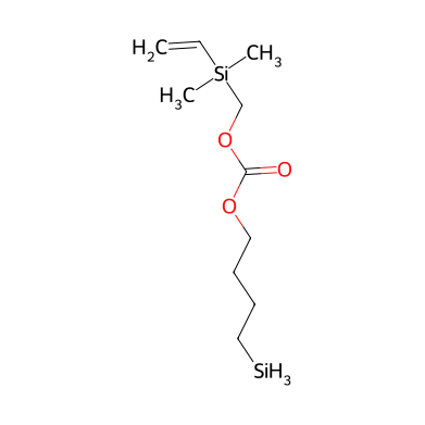 C=C[Si](C)(C)COC(=O)OCCCC[SiH3]